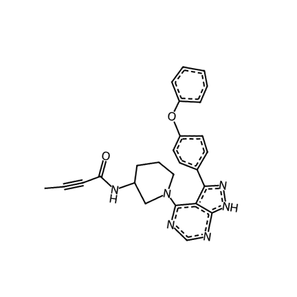 CC#CC(=O)NC1CCCN(c2ncnc3[nH]nc(-c4ccc(Oc5ccccc5)cc4)c23)C1